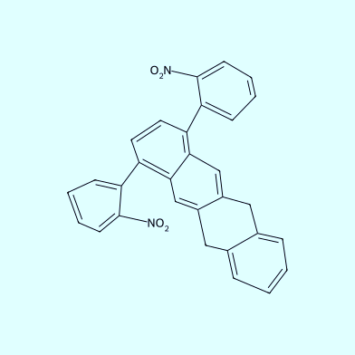 O=[N+]([O-])c1ccccc1-c1ccc(-c2ccccc2[N+](=O)[O-])c2cc3c(cc12)Cc1ccccc1C3